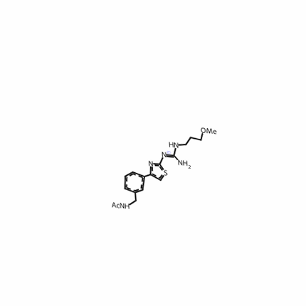 COCCCN/C(N)=N/c1nc(-c2cccc(CNC(C)=O)c2)cs1